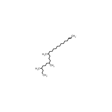 [CH2]C=CCCCCCCCCCCC(C)CCCC(C)CCCC(C)CC[CH2]